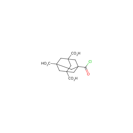 O=C(O)C12CC3(C(=O)O)CC(C(=O)O)(C1)CC(C(=O)Cl)(C2)C3